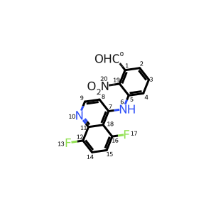 O=Cc1cccc(Nc2ccnc3c(F)ccc(F)c23)c1[N+](=O)[O-]